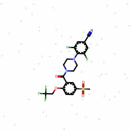 CS(=O)(=O)c1ccc(OCC(F)(F)F)c(C(=O)N2CCN(c3c(F)cc(C#N)cc3F)CC2)c1